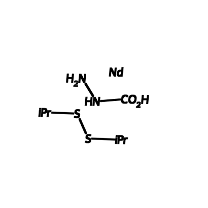 CC(C)SSC(C)C.NNC(=O)O.[Nd]